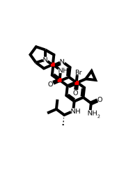 CC(C)[C@@H](C)Nc1cc(C(=O)NC2CC3CCC(C2)N3c2ccc(C(=O)C3CC3)cn2)c(Br)cc1C(N)=O